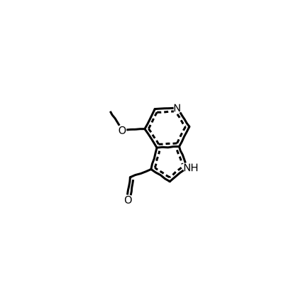 COc1cncc2[nH]cc(C=O)c12